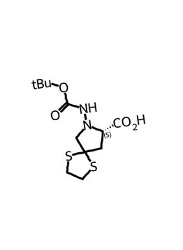 CC(C)(C)OC(=O)NN1CC2(C[C@H]1C(=O)O)SCCS2